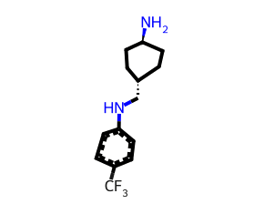 N[C@H]1CC[C@H](CNc2ccc(C(F)(F)F)cc2)CC1